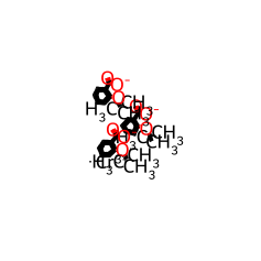 CC(C)(C)Oc1ccccc1C(=O)[O-].CC(C)(C)Oc1ccccc1C(=O)[O-].CC(C)(C)Oc1ccccc1C(=O)[O-].[Cr+3]